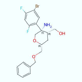 N[C@@]1(c2cc(Br)c(F)cc2F)CO[C@@H](COCc2ccccc2)C[C@H]1CO